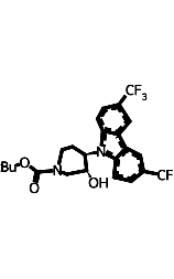 CC(C)(C)OC(=O)N1CC[C@@H](n2c3ccc(C(F)(F)F)cc3c3cc(C(F)(F)F)ccc32)[C@H](O)C1